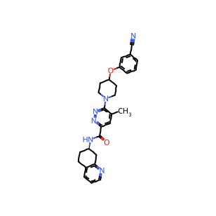 Cc1cc(C(=O)N[C@@H]2CCc3cccnc3C2)nnc1N1CCC(Oc2cccc(C#N)c2)CC1